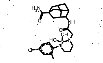 Cc1cc(Cl)ccc1N1CCCN(CC(=O)NC2C3CC4CC2CC(C(N)=O)(C4)C3)S1(O)O